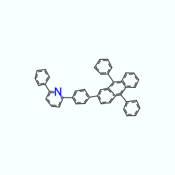 c1ccc(-c2cccc(-c3ccc(-c4ccc5c(-c6ccccc6)c6ccccc6c(-c6ccccc6)c5c4)cc3)n2)cc1